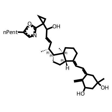 C=C1C(=CC=C2CCC[C@]3(C)[C@@H]([C@H](C)C=CC(O)C4(c5ncc(CCCCC)o5)CC4)CC[C@@H]23)CC(C)(O)CC1O